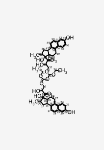 CCOC(OCC(O)C(=O)[C@@]1(O)[C@H](C)CC2c3ccc4cc(O)ccc4c3CC[C@@]21C)OC(OCC)OCC(O)C(=O)[C@@]1(O)[C@H](C)CC2c3ccc4cc(O)ccc4c3CC[C@@]21C